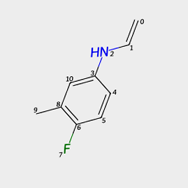 C=CNc1ccc(F)c(C)c1